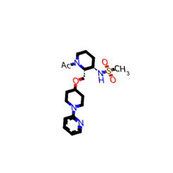 CC(=O)N1CCC[C@H](NS(C)(=O)=O)[C@@H]1COC1CCN(c2ccccn2)CC1